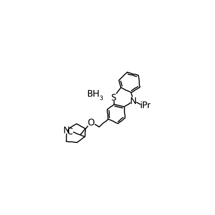 B.CC(C)N1c2ccccc2Sc2cc(COC3CN4CCC3CC4)ccc21